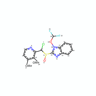 COc1ccnc(C(Cl)[S+]([O-])c2nc3ccccc3n2OC(F)F)c1OC